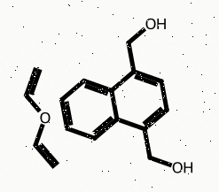 C=COC=C.OCc1ccc(CO)c2ccccc12